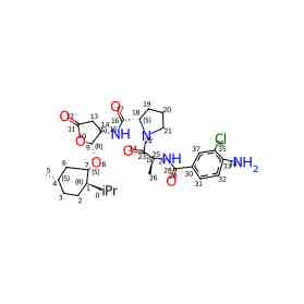 CC(C)[C@H]1CC[C@H](C)C[C@@H]1O[C@@H]1OC(=O)C[C@@H]1NC(=O)[C@@H]1CCCN1C(=O)[C@H](C)NC(=O)c1ccc(N)c(Cl)c1